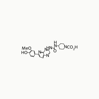 COc1cc(-c2ccc3ncc(NC(=O)NC4CCN(C(=O)O)CC4)nc3n2)ccc1O